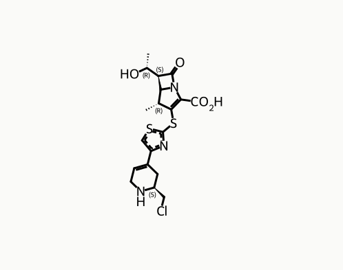 C[C@H]1C(Sc2nc(C3=CCN[C@H](CCl)C3)cs2)=C(C(=O)O)N2C(=O)[C@H]([C@@H](C)O)C12